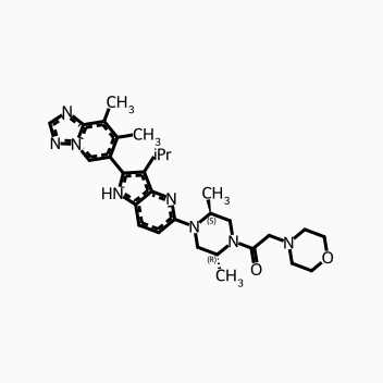 Cc1c(-c2[nH]c3ccc(N4C[C@@H](C)N(C(=O)CN5CCOCC5)C[C@@H]4C)nc3c2C(C)C)cn2ncnc2c1C